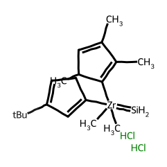 CC1=CC(C)[C]([Zr]([CH3])([CH3])(=[SiH2])[C]2=CC(C(C)(C)C)=CC2)=C1C.Cl.Cl